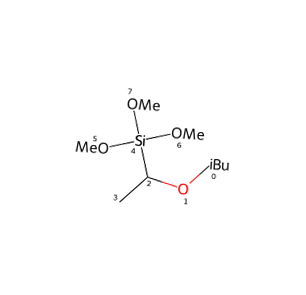 CCC(C)OC(C)[Si](OC)(OC)OC